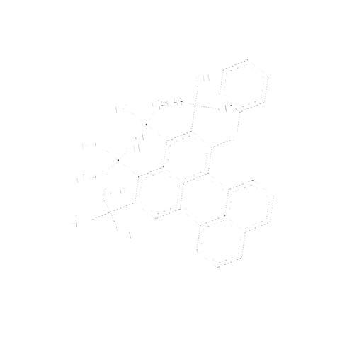 CCCCCC(C)(C)c1cc2c3cccc4cccc(c5c(Oc6ccccc6)c(C(C)(C)CCCCC)c(C(C)(C)CCCCC)c(c1C(C)(C)CCCCC)c25)c43